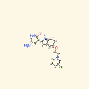 Nc1c[nH]c(=O)c(-c2cc3cc(OCCN4CCCC(F)C4)ccc3[nH]2)c1